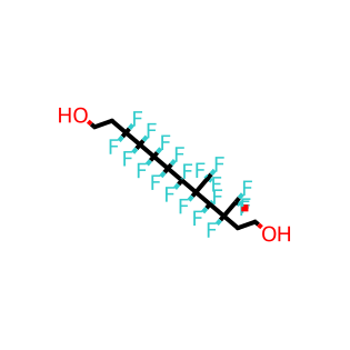 OCCC(F)(F)C(F)(F)C(F)(F)C(F)(F)C(F)(F)C(F)(C(F)(F)F)C(F)(F)C(F)(CCO)C(F)(F)F